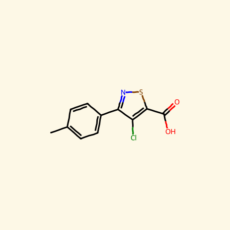 Cc1ccc(-c2nsc(C(=O)O)c2Cl)cc1